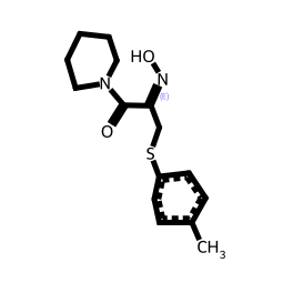 Cc1ccc(SC/C(=N/O)C(=O)N2CCCCC2)cc1